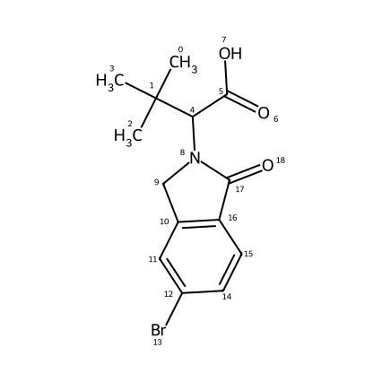 CC(C)(C)C(C(=O)O)N1Cc2cc(Br)ccc2C1=O